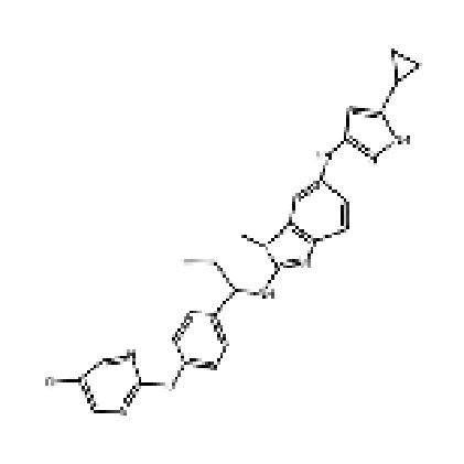 CCC(Nc1nc2ccc(Nc3cc(C4CC4)[nH]n3)cc2n1C)c1ccc(Oc2ncc(Cl)cn2)cc1